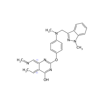 C=N/C=c1/nc(Oc2ccc(N(C)Cc3nn(C)c4ccccc34)cc2)nc(O)/c1=C/C